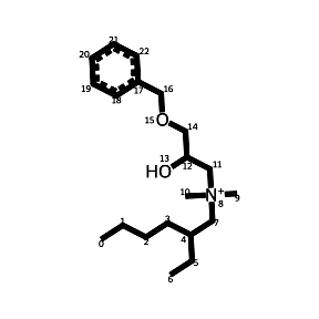 CCCCC(CC)C[N+](C)(C)CC(O)COCc1ccccc1